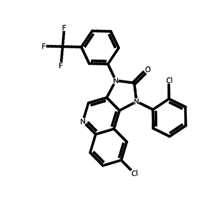 O=c1n(-c2cccc(C(F)(F)F)c2)c2cnc3ccc(Cl)cc3c2n1-c1ccccc1Cl